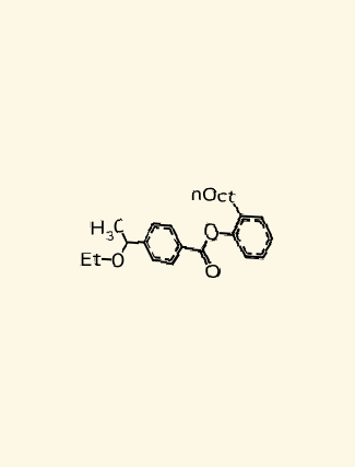 CCCCCCCCc1ccccc1OC(=O)c1ccc(C(C)OCC)cc1